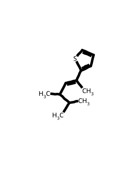 C/C(=C\C(C)C(C)C)c1cccs1